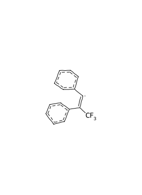 FC(F)(F)C(=[C]c1ccccc1)c1ccccc1